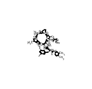 Cc1ccc(NC(=O)N[C@@H](Cc2cc(F)cc(F)c2)C(=O)N[C@@H]2C(=O)N3C[C@H](OP(=O)(O)O)C[C@H]3C(=O)N3CCCC[C@H]3C(=O)N[C@@H](C)C(=O)N3C[C@H](C)C[C@H]3C(=O)O[C@H]2C)cc1C